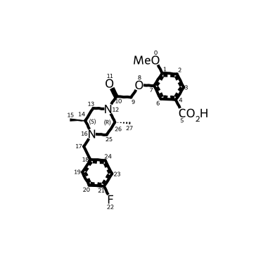 COc1ccc(C(=O)O)cc1OCC(=O)N1C[C@H](C)N(Cc2ccc(F)cc2)C[C@H]1C